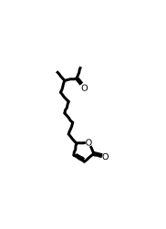 CC(=O)C(C)CCCCCC1C=CC(=O)O1